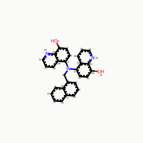 Oc1ccc(N(Cc2cccc3ccccc23)c2ccc(O)c3ncccc23)c2cccnc12